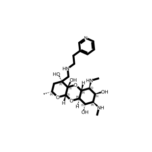 CN[C@@H]1[C@H](O)[C@H](NC)[C@H]2O[C@]3(O)[C@H](O[C@@H]2[C@H]1O)O[C@H](C)C[C@@]3(O)CNCCc1cccnc1